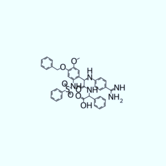 COc1cc([C@@H](Nc2ccc(C(=N)N)cc2)C(=O)NC(C(=O)O)c2ccccc2)c(NS(=O)(=O)c2ccccc2)cc1OCc1ccccc1